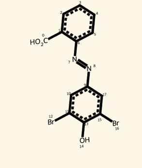 O=C(O)c1ccccc1N=Nc1cc(Br)c(O)c(Br)c1